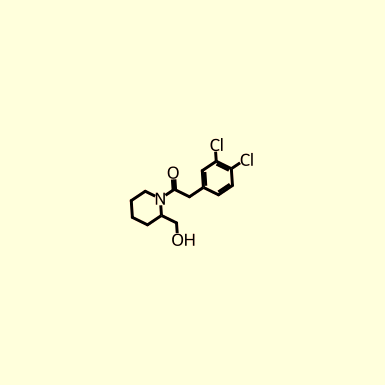 O=C(Cc1ccc(Cl)c(Cl)c1)N1CCCCC1CO